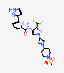 CS(=O)(=O)N1CCC(N2CC(n3cc(NC(=O)c4cccc(-c5cc[nH]n5)n4)c(C(F)F)n3)C2)CC1